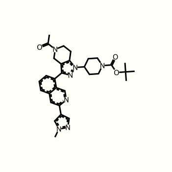 CC(=O)N1CCc2c(c(-c3cccc4cc(-c5cnn(C)c5)ncc34)nn2C2CCN(C(=O)OC(C)(C)C)CC2)C1